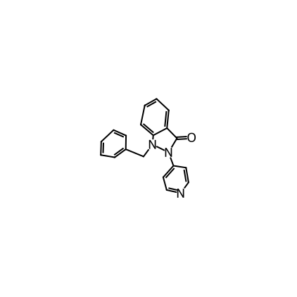 O=c1c2ccccc2n(Cc2ccccc2)n1-c1ccncc1